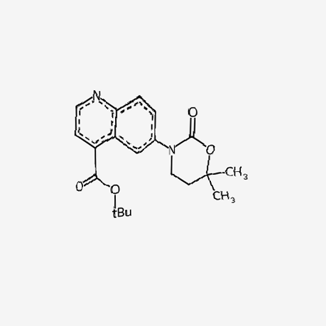 CC(C)(C)OC(=O)c1ccnc2ccc(N3CCC(C)(C)OC3=O)cc12